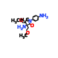 COCCC(N)(CCOC)C(=O)N(C)c1ccc(N)cc1